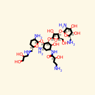 NCC[C@H](O)C(=O)N[C@@H]1C[C@H](N)[C@@H](O[C@H]2O[C@H](CNCC(O)CO)CC[C@H]2N)[C@H](O[C@@H]2O[C@H](CO)[C@@H](O[C@H]3O[C@@H](CN)[C@@H](O)[C@H](O)[C@H]3N)[C@H]2O)[C@H]1O